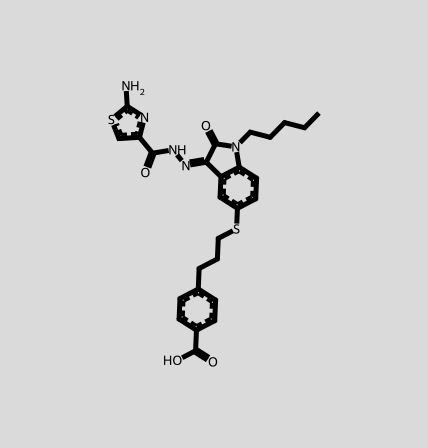 CCCCCN1C(=O)C(=NNC(=O)c2csc(N)n2)c2cc(SCCCc3ccc(C(=O)O)cc3)ccc21